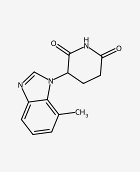 Cc1cccc2ncn(C3CCC(=O)NC3=O)c12